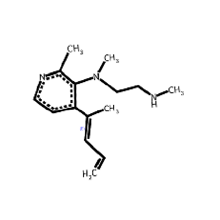 C=C/C=C(\C)c1ccnc(C)c1N(C)CCNC